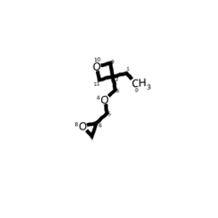 CCC1(COCC2CO2)COC1